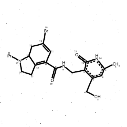 Cc1cc(CO)c(CNC(=O)C2=C3CCN(C(C)C)C3CC(Br)=C2)c(=O)[nH]1